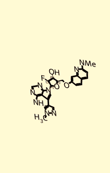 CNc1ccc2ccc(OC[C@H]3O[C@@H](n4cc(-c5cnn(C)c5)c5c(N)ncnc54)[C@@H](F)[C@@H]3O)cc2n1